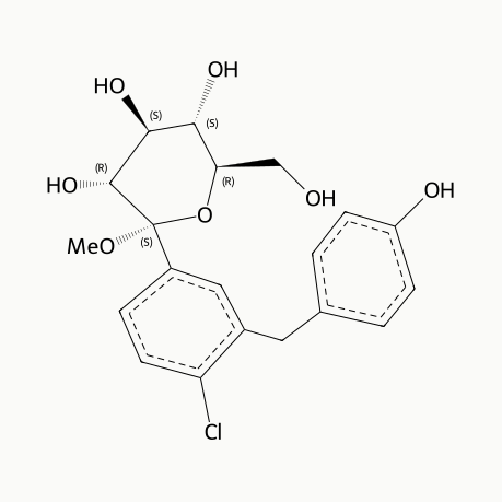 CO[C@@]1(c2ccc(Cl)c(Cc3ccc(O)cc3)c2)O[C@H](CO)[C@@H](O)[C@H](O)[C@H]1O